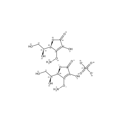 [NH3+]OC1=C(O)C(=O)O[C@@H]1[C@@H](O)CO.[NH3+]OC1=C(O)C(=O)O[C@@H]1[C@@H](O)CO.[O]=[Mo](=[O])([O-])[O-]